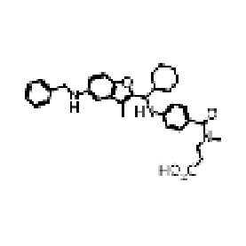 Cc1c(C(Nc2ccc(C(=O)N(C)CCC(=O)O)cc2)C2CCCCC2)oc2ccc(NCc3ccccc3)cc12